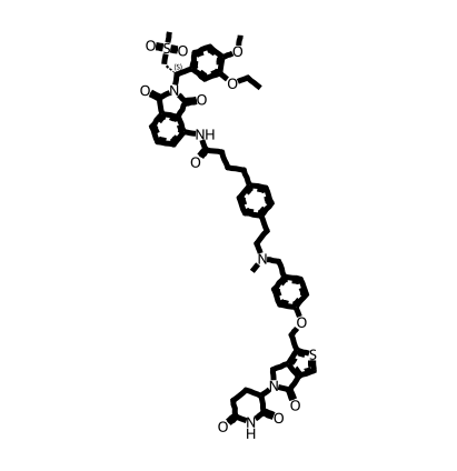 CCOc1cc([C@@H](CS(C)(=O)=O)N2C(=O)c3cccc(NC(=O)CCCc4ccc(CCN(C)Cc5ccc(OCc6scc7c6CN(C6CCC(=O)NC6=O)C7=O)cc5)cc4)c3C2=O)ccc1OC